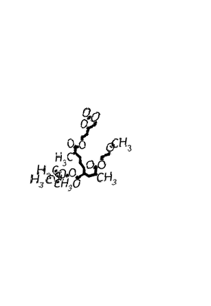 COCCOC(=O)C(C)CC(CCCC(C)C(=O)OCCC1COC(=O)O1)C(=O)OCO[Si](C)(C)C